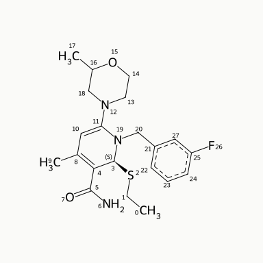 CCS[C@H]1C(C(N)=O)=C(C)C=C(N2CCOC(C)C2)N1Cc1cccc(F)c1